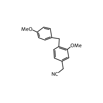 COc1ccc(Cc2ccc(CC#N)cc2OC)cc1